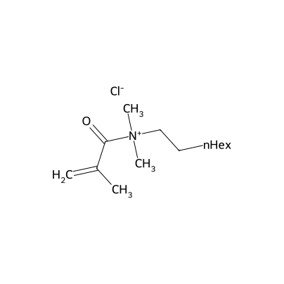 C=C(C)C(=O)[N+](C)(C)CCCCCCCC.[Cl-]